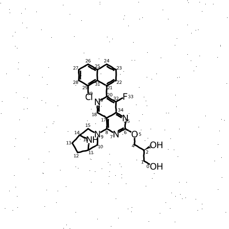 OC[C@H](O)COc1nc(N2CC3CCC(C2)N3)c2cnc(-c3cccc4cccc(Cl)c34)c(F)c2n1